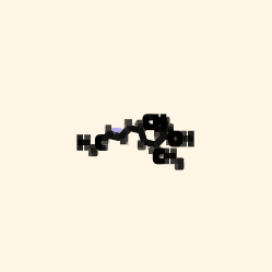 C/C=C/CC(C)CC(C)C(=O)O